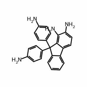 Nc1ccc(C2(c3ccc(N)cc3)c3ccccc3-c3ccc(N)c(N)c32)cc1